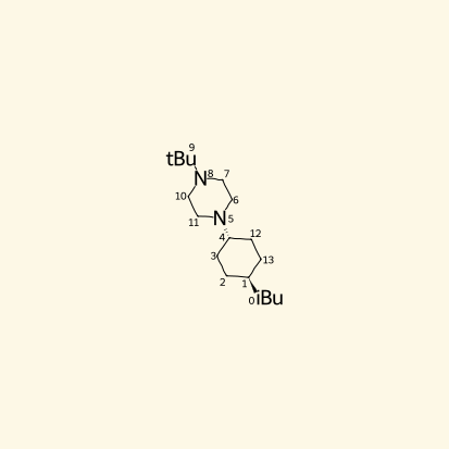 CCC(C)[C@H]1CC[C@H](N2CCN(C(C)(C)C)CC2)CC1